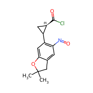 CC1(C)Cc2cc(N=O)c(C3C[C@H]3C(=O)Cl)cc2O1